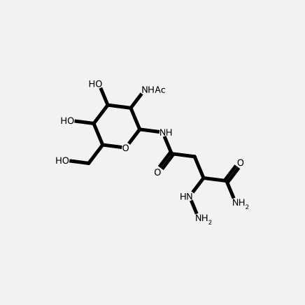 CC(=O)NC1C(NC(=O)CC(NN)C(N)=O)OC(CO)C(O)C1O